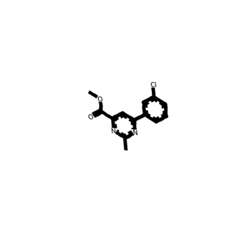 COC(=O)c1cc(-c2cccc(Cl)c2)nc(C)n1